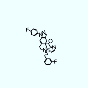 O=C(c1nccs1)C12Cc3cnn(-c4ccc(F)cc4)c3C=C1CCN(SCc1cccc(F)c1)C2